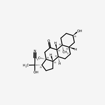 CC(O)(C#N)[C@H]1CC[C@H]2[C@@H]3CC[C@H]4C[C@H](O)CC[C@]4(C)[C@H]3C(=O)C[C@]12C